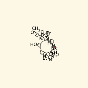 C=CC(=O)N1CCC(C(=O)N(C)C(C(=O)N[C@H]2Cc3cc(O)cc(c3)-c3ccc4c(c3)c(c(-c3cncnc3)n4CC)CC(C)(C)c3cnc(n3C3CC3)[C@@H]3CCCN(N3)C2=O)C(C)C)C1